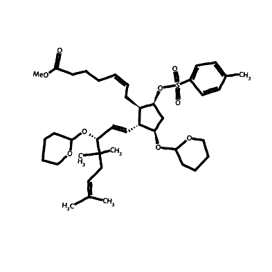 COC(=O)CCC/C=C\C[C@@H]1[C@@H](/C=C/[C@@H](OC2CCCCO2)C(C)(C)CC=C(C)C)[C@H](OC2CCCCO2)C[C@@H]1OS(=O)(=O)c1ccc(C)cc1